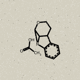 CC(=O)O.c1ccc2c(c1)C1CCOC3C1N23